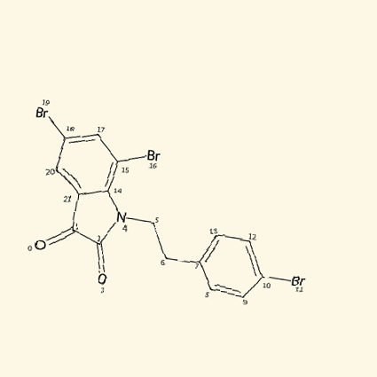 O=C1C(=O)N(CCc2ccc(Br)cc2)c2c(Br)cc(Br)cc21